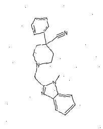 Cn1c(CN2CCC(C#N)(c3ccccc3)CC2)nc2ccccc21